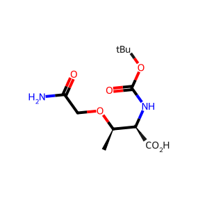 C[C@@H](OCC(N)=O)[C@@H](NC(=O)OC(C)(C)C)C(=O)O